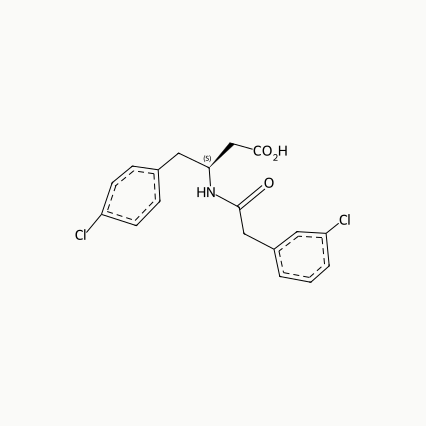 O=C(O)C[C@H](Cc1ccc(Cl)cc1)NC(=O)Cc1cccc(Cl)c1